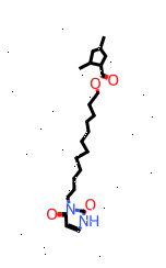 CC1CC(C)C(C(=O)OCCCCCCCCCCCCn2c(=O)cc[nH]c2=O)C1